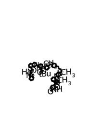 Cc1c(OC2CCC(CCC[C@H](C)N3CCN(c4cccc5c(C6CCC(=O)NC6=O)nn(C)c45)CC3)CC2)cccc1-c1ccc(N2CCc3cccc(C(=O)Nc4nc5ccccc5s4)c3C2)nc1C(=O)OC(C)(C)C